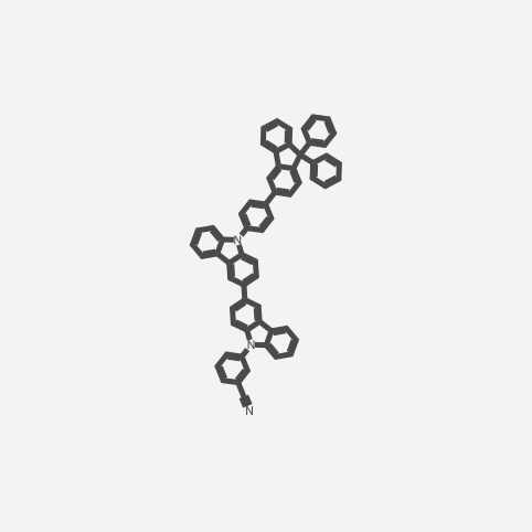 N#Cc1cccc(-n2c3ccccc3c3cc(-c4ccc5c(c4)c4ccccc4n5-c4ccc(-c5ccc6c(c5)-c5ccccc5C6(c5ccccc5)c5ccccc5)cc4)ccc32)c1